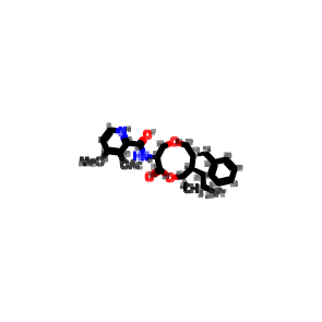 COc1ccnc(C(=O)N[C@H]2COC[C@H](Cc3ccccc3)[C@@H](CCC(C)C)[C@H](C)OC2=O)c1OC(C)=O